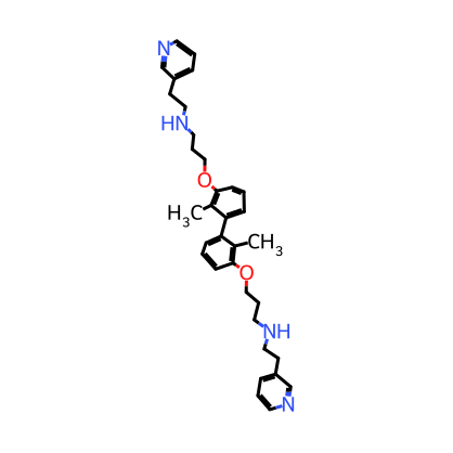 Cc1c(OCCCNCCc2cccnc2)cccc1-c1cccc(OCCCNCCc2cccnc2)c1C